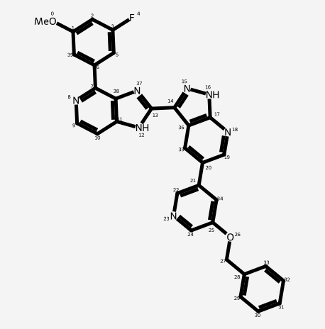 COc1cc(F)cc(-c2nccc3[nH]c(-c4n[nH]c5ncc(-c6cncc(OCc7ccccc7)c6)cc45)nc23)c1